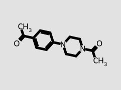 CC(=O)c1ccc(N2CCN(C(C)=O)CC2)cc1